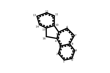 [c]1ccc2c3c(ccc2c1)-c1ccccc1C3